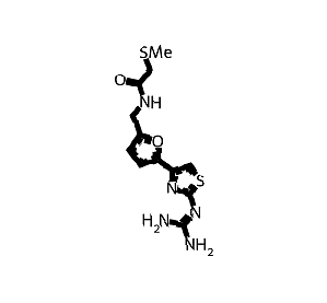 CSCC(=O)NCc1ccc(-c2csc(N=C(N)N)n2)o1